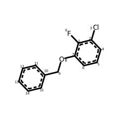 Fc1c(Cl)cccc1OCc1ccccc1